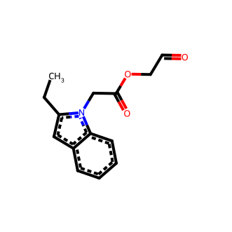 CCc1cc2ccccc2n1CC(=O)OCC=O